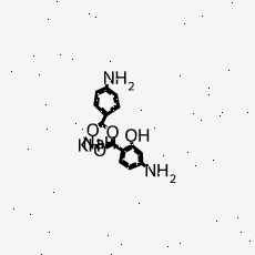 Nc1ccc(C(=O)OC(=O)c2ccc(N)cc2O)cc1.[KH].[NaH]